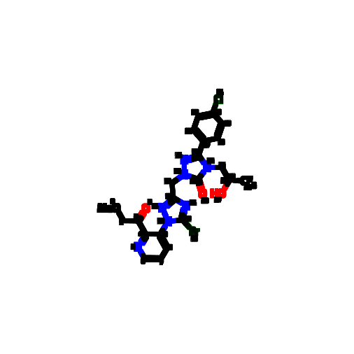 COCC(=O)c1ncccc1-n1nc(Cn2nc(-c3ccc(Cl)cc3)n(C[C@H](O)C(F)(F)F)c2=O)nc1Br